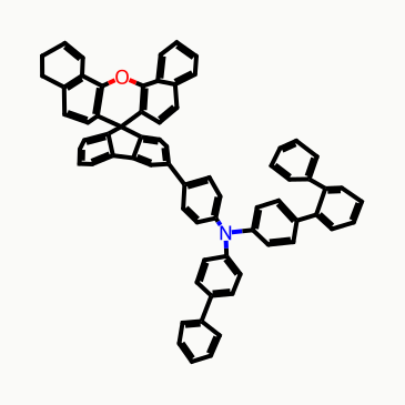 C1=Cc2c(ccc3c2Oc2c(ccc4ccccc24)C32c3ccccc3-c3cc(-c4ccc(N(c5ccc(-c6ccccc6)cc5)c5ccc(-c6ccccc6-c6ccccc6)cc5)cc4)ccc32)CC1